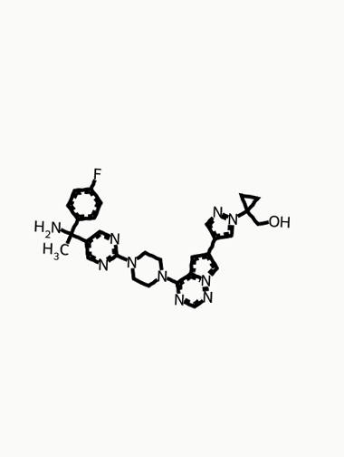 CC(N)(c1ccc(F)cc1)c1cnc(N2CCN(c3ncnn4cc(-c5cnn(C6(CO)CC6)c5)cc34)CC2)nc1